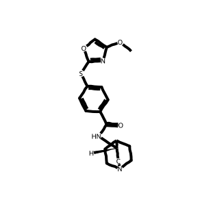 COc1coc(Sc2ccc(C(=O)N[C@H]3CN4CCC3CC4)cc2)n1